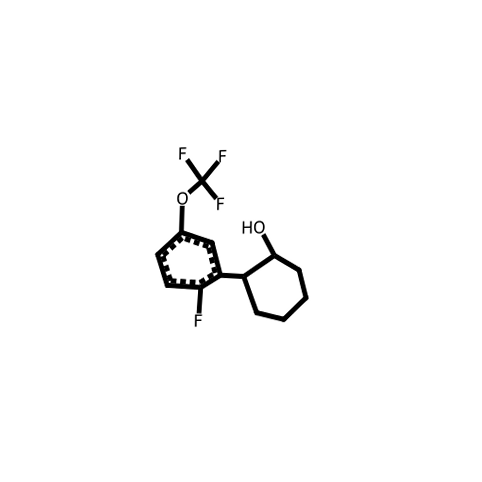 OC1CCCCC1c1cc(OC(F)(F)F)ccc1F